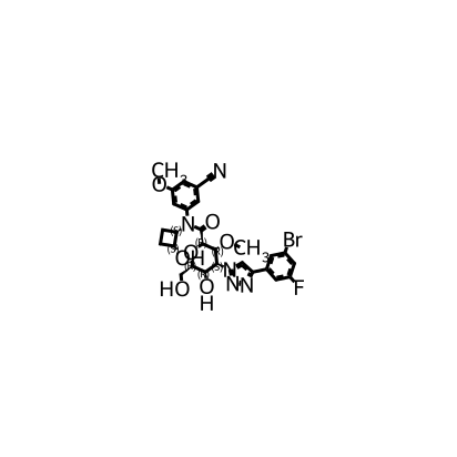 COc1cc(C#N)cc(N(C(=O)[C@@H]2O[C@H](CO)[C@H](O)[C@H](n3cc(-c4cc(F)cc(Br)c4)nn3)[C@H]2OC)[C@H]2CC[C@@H]2O)c1